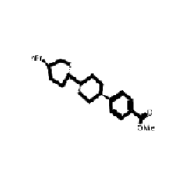 CCC[C@H]1CC[C@H]([C@H]2CC[C@H](c3ccc(C(=O)OC)cc3)CC2)CC1